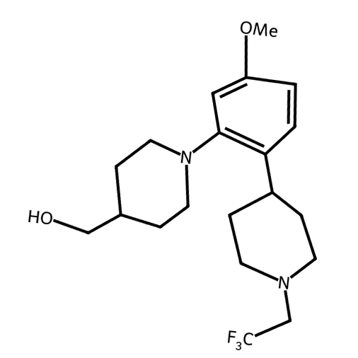 COc1ccc(C2CCN(CC(F)(F)F)CC2)c(N2CCC(CO)CC2)c1